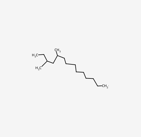 [CH2]CCCCCCCCC(C)CC(C)CC